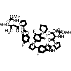 COC(=O)N[C@H](C(=O)N1CCC[C@H]1c1nc2cc([C@H]3CC[C@H](c4cc5nc([C@@H]6CCCN6C(=O)[C@@H](NC(=O)OC)[C@@H](C)OC)[nH]c5cc4F)N3C3=CC(F)=C(N4CCCCC4)C(F)C3)c(F)cc2[nH]1)[C@@H](C)OC